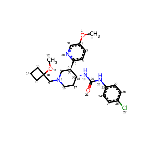 COc1ccc([C@@H]2CN(CC3(OC)CCC3)CC[C@H]2NC(=O)Nc2ccc(Cl)cc2)nc1